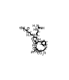 CC(C)C[C@H]1C(=O)N[C@H](C(=O)N[C@@H](CCCNC(=N)N)C(=O)NCCNC(=O)OC(C)(C)C)Cc2ccc(cc2)OCCCC1C(=O)O